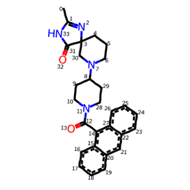 CC1=NC2(CCCN(C3CCN(C(=O)c4c5ccccc5cc5ccccc45)CC3)C2)C(=O)N1